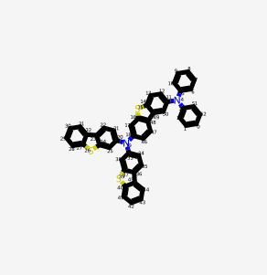 c1ccc(N(c2ccccc2)c2ccc3sc4cc(N(c5ccc6c(c5)sc5ccccc56)c5ccc6c(c5)sc5ccccc56)ccc4c3c2)cc1